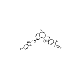 COC(=O)c1cccc(C[C@H]2COc3ccc(OCc4nc5cc(F)ccc5s4)cc3[C@H]2O)c1